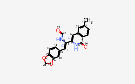 Cc1cccc(/C=C(NC=O)/C(=C/c2ccc3c(c2)OCO3)NC=O)c1